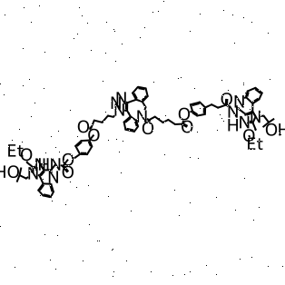 CCOCc1nc2c(NC(=O)CCc3ccc(OC(=O)CCCCC(=O)N4Cc5ccccc5-c5nnn(CCCCC(=O)Oc6ccc(COC(=O)Nc7nc8ccccc8c8c7nc(COCC)n8CC(C)(C)O)cc6)c5-c5ccccc54)cc3)nc3ccccc3c2n1CC(C)(C)O